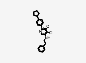 O=c1c(Cl)c(NCCc2ccccc2)cnn1-c1ccc(C2CCCC2)cc1